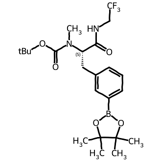 CN(C(=O)OC(C)(C)C)[C@@H](Cc1cccc(B2OC(C)(C)C(C)(C)O2)c1)C(=O)NCC(F)(F)F